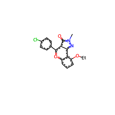 CCOc1cccc2oc(-c3ccc(Cl)cc3)c3c(=O)n(C)nc-3c12